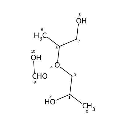 CC(O)COC(C)CO.O=CO